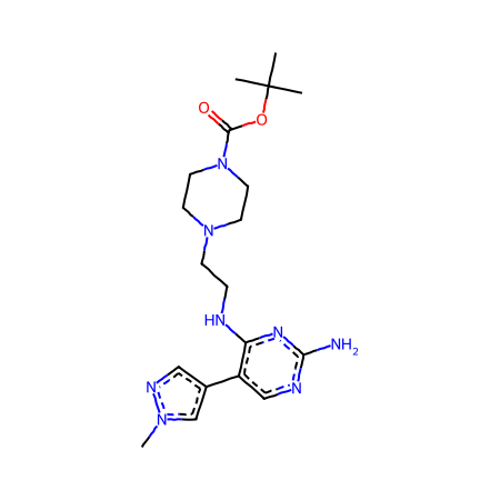 Cn1cc(-c2cnc(N)nc2NCCN2CCN(C(=O)OC(C)(C)C)CC2)cn1